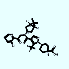 CC1(C)[C@@H]2C[C@@H](N(CC(=O)c3ncccc3Cl)C(=O)c3cnn([C@H]4CC[C@](C)(C(=O)O)CC4)c3C(F)(F)F)C[C@@H]21